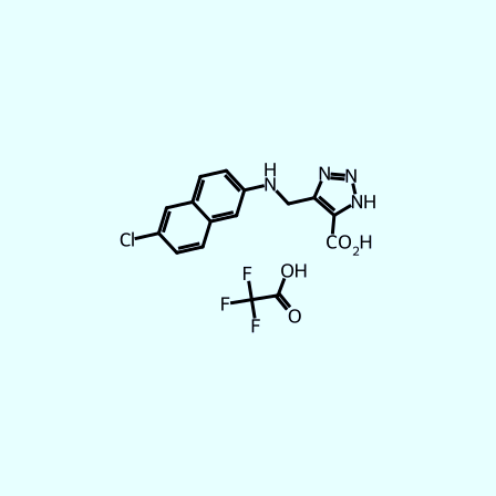 O=C(O)C(F)(F)F.O=C(O)c1[nH]nnc1CNc1ccc2cc(Cl)ccc2c1